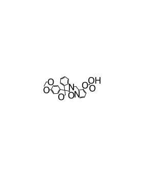 O=C(O)Oc1cccnc1CN1C(=O)C2(COc3cc4c(cc32)OCCO4)c2ccccc21